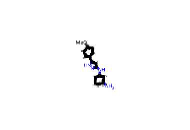 COc1ccc(-c2cc(Nc3cccc(N)c3)n[nH]2)cc1